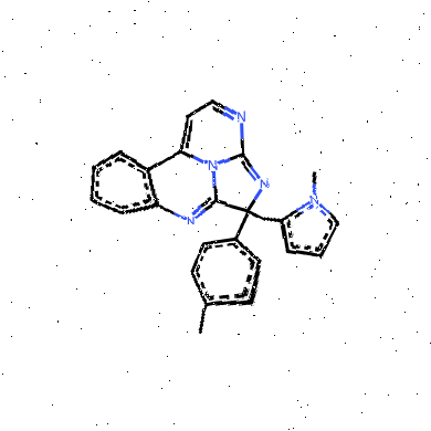 Cc1ccc(C2(c3cccn3C)N=C3N=CC=C4c5ccccc5N=C2N43)cc1